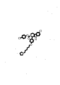 O=C(Oc1ccc(Cl)cc1)N1CCc2c([nH]c3ccc(Cl)cc23)C1c1ccc(OCCCCCCN2CCCC2)cc1